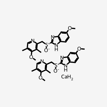 COc1ccc2[nH]c([S+]([O-])Cc3ncc(C)c(OC)c3C)nc2c1.COc1ccc2[nH]c([S+]([O-])Cc3ncc(C)c(OC)c3C)nc2c1.[CaH2]